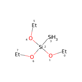 CCO[Si]([SiH3])(OCC)OCC